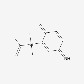 C=C1C=CC(=N)C=C1[Si](C)(C)C(=C)C